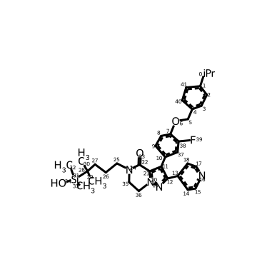 CC(C)c1ccc(COc2ccc(-c3c(-c4ccncc4)nn4c3C(=O)N(CCCC(C)(C)[Si](C)(C)O)CC4)cc2F)cc1